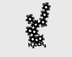 CC1(C)c2ccccc2-c2c(-c3ccc(-c4cc(-c5cccc(-c6ccc(-c7ccccc7)cc6)c5)nc(-c5ccccc5)n4)c4ccccc34)cccc21